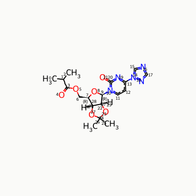 CC(C)C(=O)OC[C@H]1O[C@@H](n2ccc(-n3cncn3)nc2=O)[C@@H]2OC(C)(C)O[C@@H]21